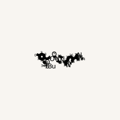 Cc1ccc(C(COC(=O)N2CCN(c3cnn4cc(-c5cnn(C)c5)ccc34)CC2)O[Si](C)(C)C(C)(C)C)cc1